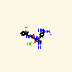 Cl.N=C(N)c1ccc(CNC(C(=O)NCC(=O)NCCc2c[nH]c3ccccc23)c2cc[nH]n2)cc1